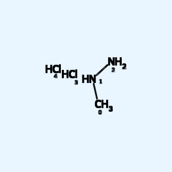 CNN.Cl.Cl